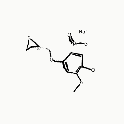 COc1cc(OC[C@@H]2CO2)ccc1Cl.O=N[O-].[Na+]